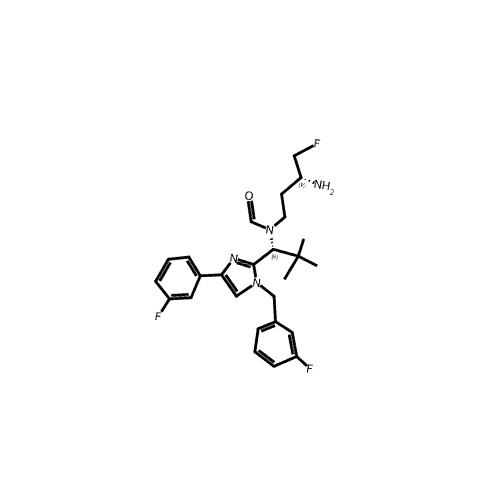 CC(C)(C)[C@H](c1nc(-c2cccc(F)c2)cn1Cc1cccc(F)c1)N(C=O)CC[C@@H](N)CF